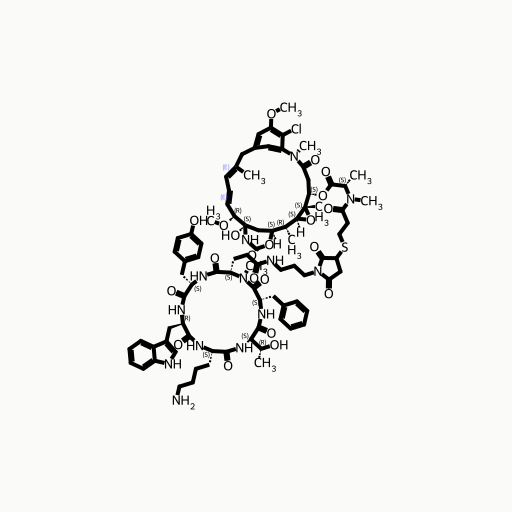 COc1cc2cc(c1Cl)N(C)C(=O)C[C@H](OC(=O)[C@H](C)N(C)C(=O)CCSC1CC(=O)N(CCCNC(=O)CC[C@H]3C(=O)N[C@@H](Cc4ccc(O)cc4)C(=O)N[C@H](Cc4c[nH]c5ccccc45)C(=O)N[C@@H](CCCCN)C(=O)N[C@@H]([C@@H](C)O)C(=O)N[C@@H](Cc4ccccc4)C(=O)N3C)C1=O)[C@]1(C)O[C@H]1[C@H](C)[C@@H]1C[C@@](O)(NC(=O)O1)[C@H](OC)/C=C/C=C(\C)C2